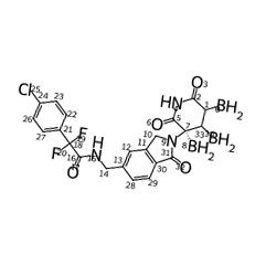 BC1C(=O)NC(=O)[C@](B)(N2Cc3cc(CNC(=O)C(F)(F)c4ccc(Cl)cc4)ccc3C2=O)C1B